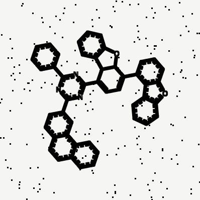 C1=C(c2cccc3oc4ccccc4c23)C2Oc3ccccc3C2C(c2nc(-c3ccccc3)nc(-c3ccc4ccc5ccccc5c4c3)n2)=C1